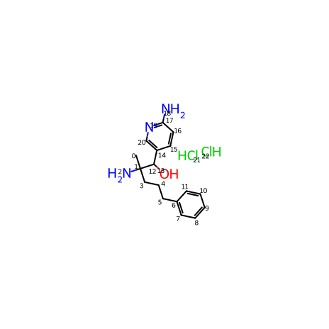 CC(N)(CCCc1ccccc1)C(O)c1ccc(N)nc1.Cl.Cl